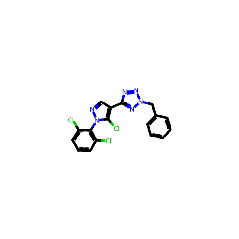 Clc1cccc(Cl)c1-n1ncc(-c2nnn(Cc3ccccc3)n2)c1Cl